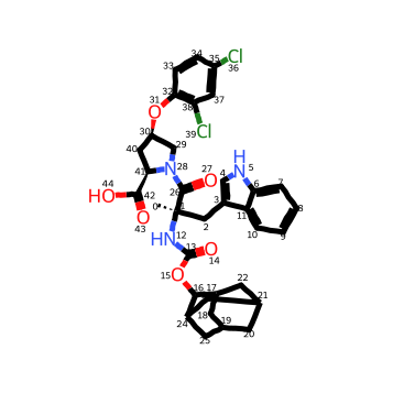 C[C@](Cc1c[nH]c2ccccc12)(NC(=O)OC1C2CC3CC(C2)CC1C3)C(=O)N1C[C@H](Oc2ccc(Cl)cc2Cl)C[C@@H]1C(=O)O